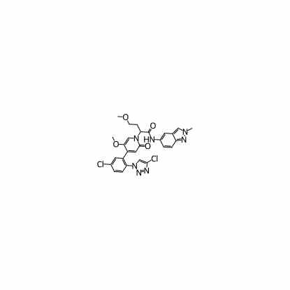 COCCC(C(=O)Nc1ccc2nn(C)cc2c1)n1cc(OC)c(-c2cc(Cl)ccc2-n2cc(Cl)nn2)cc1=O